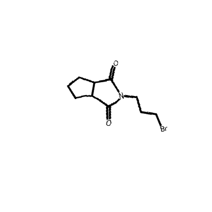 O=C1C2CCCC2C(=O)N1CCCBr